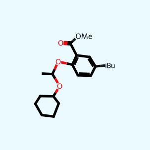 CCC(C)c1ccc(OC(C)OC2CCCCC2)c(C(=O)OC)c1